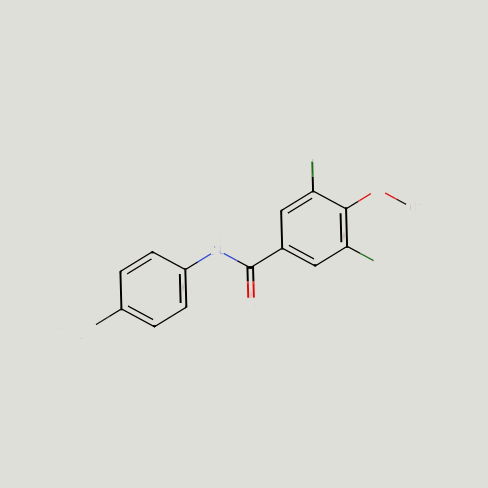 CC(C)(C)Oc1c(Cl)cc(C(=O)Nc2ccc(C(=O)O)cc2)cc1Cl